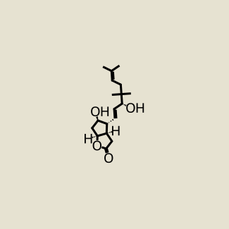 CC(C)=CCC(C)(C)[C@H](O)/C=C/[C@@H]1[C@H]2CC(=O)O[C@H]2C[C@H]1O